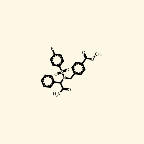 COC(=O)c1ccc(CN(C(C(N)=O)c2ccccc2)S(=O)(=O)c2ccc(F)cc2)cc1